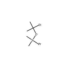 CCC(C)(C)O[Si](C)(C)C(C)C